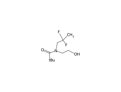 CC(F)(F)CN(CCO)C(=O)C(C)(C)C